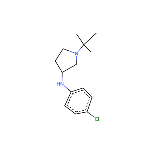 CC(C)(C)N1CCC(Nc2ccc(Cl)cc2)C1